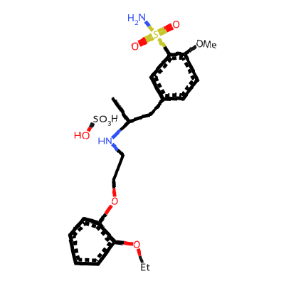 CCOc1ccccc1OCCNC(C)Cc1ccc(OC)c(S(N)(=O)=O)c1.O=S(=O)(O)O